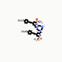 COc1ccc(C#Cc2cc(CN3CCNCCN(Cc4cc(C#Cc5ccc(OC)cc5)cc([PH](C)=O)n4)CC3)nc([PH](C)=O)c2)cc1